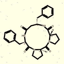 O=C1C[C@H](Cc2ccccc2)NC(=O)[C@@H]2CCCN2C(=O)[C@H]2CCCN2C(=O)[C@@H](Cc2ccccc2)N1